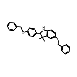 CC1(C)c2cc(OCc3ccccc3)ccc2NC1c1ccc(OCc2ccccc2)cc1